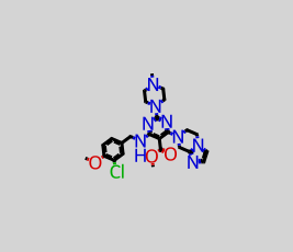 COC(=O)c1c(NCc2ccc(OC)c(Cl)c2)nc(N2CCN(C)CC2)nc1N1CCn2ccnc2C1